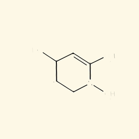 CC1C=C(O)N(O)CC1